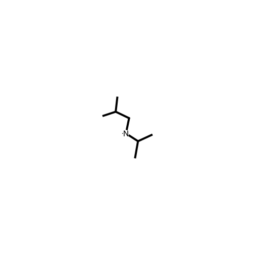 CC(C)C[N]C(C)C